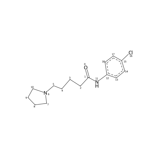 O=C(CCCCN1CCCC1)Nc1ccc(Cl)cc1